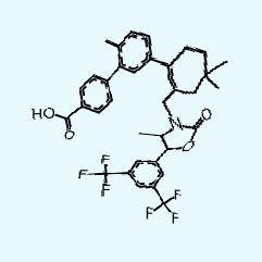 Cc1ccc(C2=C(CN3C(=O)OC(c4cc(C(F)(F)F)cc(C(F)(F)F)c4)C3C)CC(C)(C)CC2)cc1-c1ccc(C(=O)O)cc1